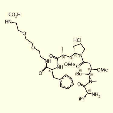 CC[C@H](C)[C@@H]([C@@H](CC(=O)N1CCC[C@H]1[C@H](OC)[C@@H](C)C(=O)N[C@@H](Cc1ccccc1)C(=O)NCCOCCOCCNC(=O)O)OC)N(C)C(=O)[C@@H](N)C(C)C.Cl